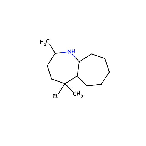 CCC1(C)CCC(C)NC2CCCCCC21